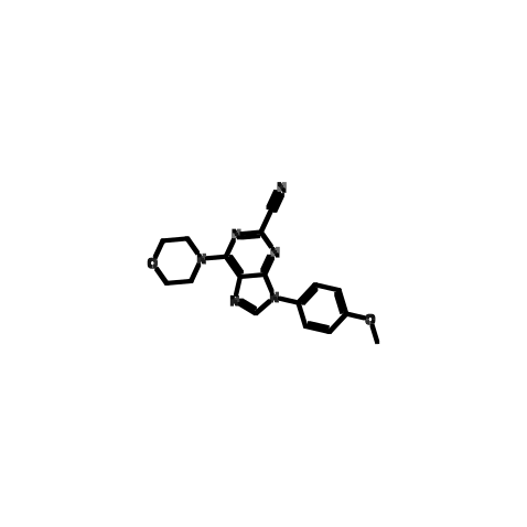 COc1ccc(-n2cnc3c(N4CCOCC4)nc(C#N)nc32)cc1